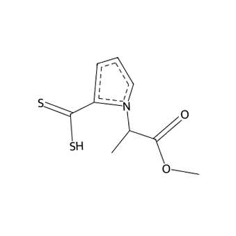 COC(=O)C(C)n1cccc1C(=S)S